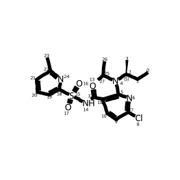 CC[C@H](C)N(c1nc(Cl)ccc1C(=O)NS(=O)(=O)c1cccc(C)n1)C(C)C